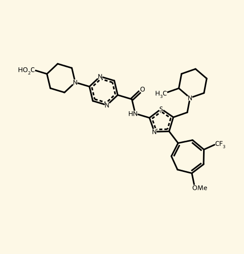 COC1=CC(C(F)(F)F)=CC(c2nc(NC(=O)c3cnc(N4CCC(C(=O)O)CC4)cn3)sc2CN2CCCCC2C)=CC1